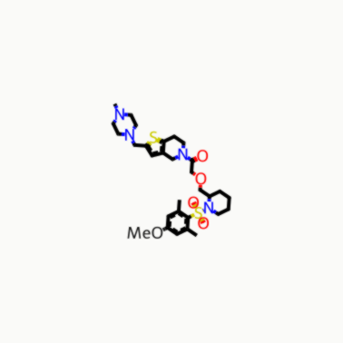 COc1cc(C)c(S(=O)(=O)N2CCCCC2COCC(=O)N2CCc3sc(CN4CCN(C)CC4)cc3C2)c(C)c1